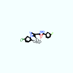 COc1ccc(Cl)cc1-n1ncc(-c2nnc(-c3cccc(F)c3)o2)c1C